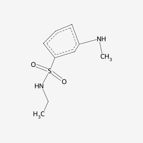 CCNS(=O)(=O)c1cccc(NC)c1